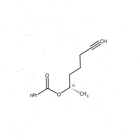 C#CCCC[C@H](C)OC(=O)CCC